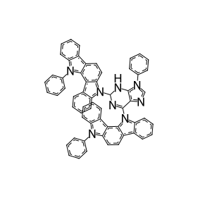 c1ccc(-n2cnc3c2NC(n2c4ccccc4c4c5c(ccc42)c2ccccc2n5-c2ccccc2)N=C3n2c3ccccc3c3ccc4c(c5ccccc5n4-c4ccccc4)c32)cc1